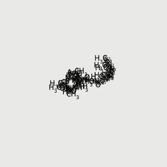 CC(=O)[C@H](C)NC(=O)[C@H](C[C@@](C)(O)CNC(=O)CCOCCNC(=O)c1ccc2c(c1)C(C)(C)C1=[N+]2CC[C@H]2O[C@H]3C[C@H]4CCN5C(=C4C=C3C=C12)C(C)(C)c1cc(C)ccc15)NC(=O)[C@@H]1CC2C(=Nc3ccccc32)SCC(NC(=O)[C@H](C)[C@H](C)O)C(=O)N2C[C@H](C)CC2C(=O)N[C@@H](C)C(=O)N1